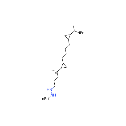 CCCCNNCCC[C@H](C)C1CC1CCCCC1CC1C(C)C(C)C